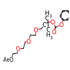 COCCOCCOCCOCCC(C)(C)OC(=O)Oc1ccccc1